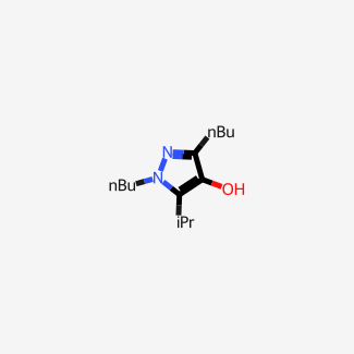 CCCCc1nn(CCCC)c(C(C)C)c1O